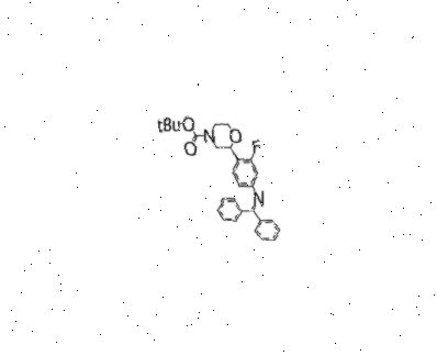 CC(C)(C)OC(=O)N1CCO[C@@H](c2ccc(N=C(c3ccccc3)c3ccccc3)cc2F)C1